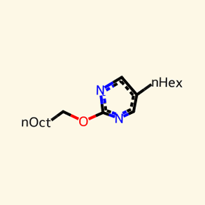 CCCCCCCCCOc1ncc(CCCCCC)cn1